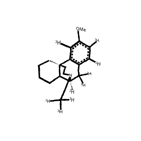 [2H]c1c([2H])c2c(c([2H])c1OC)[C@]13CCCCC1[C@@]([2H])(N(C([2H])([2H])[2H])CC3)C2([2H])[2H]